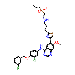 CCCS(=O)(=O)CCNCCCc1nc(-c2cc3c(Nc4ccc(OCc5cccc(F)c5)c(Cl)c4)ncnc3cc2OC)cs1